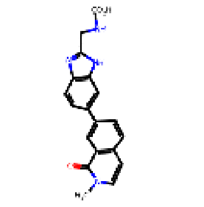 Cn1ccc2ccc(-c3ccc4nc(CNC(=O)O)[nH]c4c3)cc2c1=O